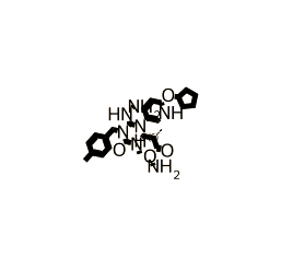 Cc1ccc(CN(C(=O)N(C)C[C@H](C)C(=O)ON)C(NN)NC2=CNC(OC3CCCC3)C=C2)cc1